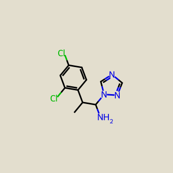 CC(c1ccc(Cl)cc1Cl)C(N)n1cncn1